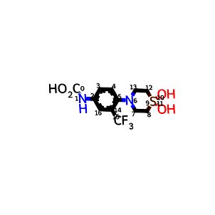 O=C(O)Nc1ccc(N2CCS(O)(O)CC2)c(C(F)(F)F)c1